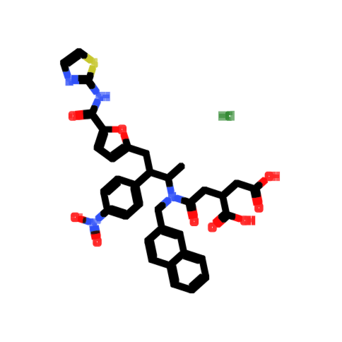 CC(C(Cc1ccc(C(=O)Nc2nccs2)o1)c1ccc([N+](=O)[O-])cc1)N(Cc1ccc2ccccc2c1)C(=O)CC(CC(=O)O)C(=O)O.Cl